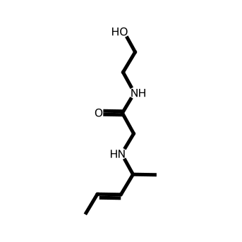 CC=CC(C)NCC(=O)NCCO